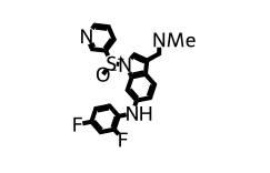 CNCc1cn([S+]([O-])c2cccnc2)c2cc(Nc3ccc(F)cc3F)ccc12